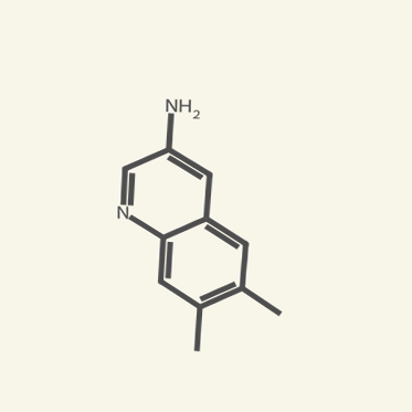 Cc1cc2cc(N)cnc2cc1C